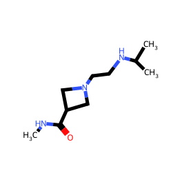 CNC(=O)C1CN(CCNC(C)C)C1